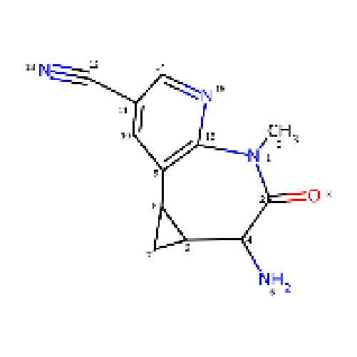 CN1C(=O)C(N)C2CC2c2cc(C#N)cnc21